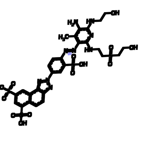 Cc1c(N)c(NCCO)nc(NCCS(=O)(=O)CCO)c1/N=N/c1ccc(-n2nc3ccc4c(S(=O)(=O)O)cc(S(=O)(=O)O)cc4c3n2)cc1S(=O)(=O)O